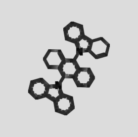 C1=Cc2c(c3ccccc3n2-c2c3c(c(-n4c5ccccc5c5ccccc54)c4ccccc24)=CCCC=3)CC1